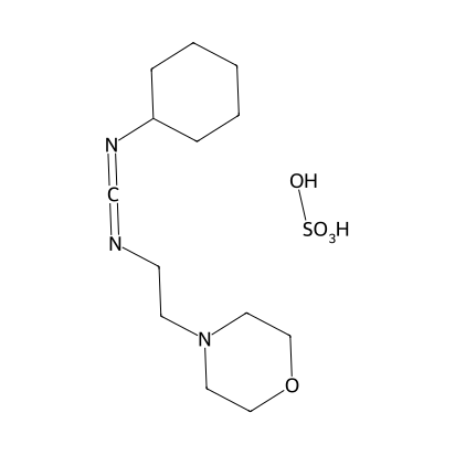 C(=NCCN1CCOCC1)=NC1CCCCC1.O=S(=O)(O)O